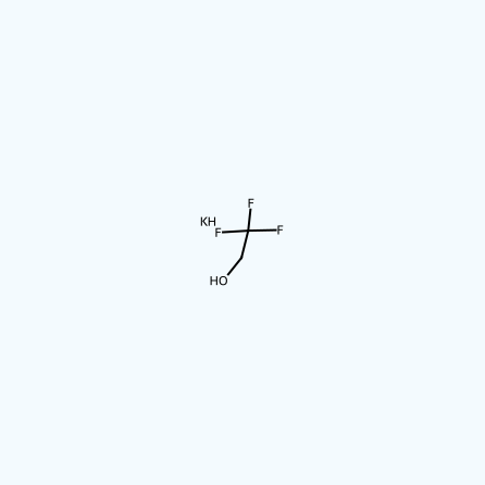 OCC(F)(F)F.[KH]